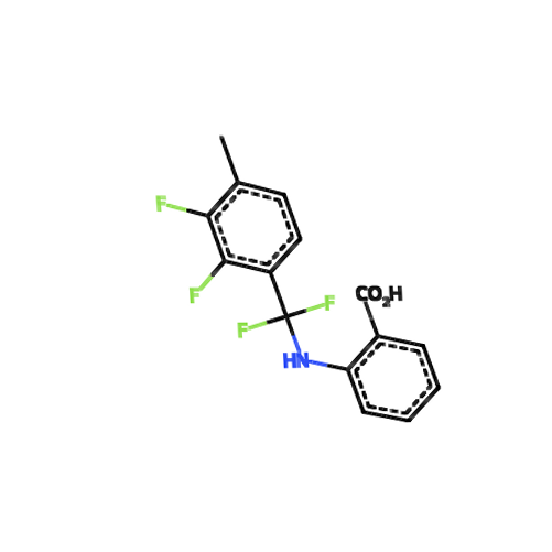 Cc1ccc(C(F)(F)Nc2ccccc2C(=O)O)c(F)c1F